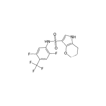 O=S(=O)(Nc1cc(F)c(C(F)(F)F)cc1F)c1c[nH]c2c1OCCC2